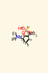 CCNC(C)C.Cc1cc(C)c(OP(O)(O)=S)c([N+](=O)[O-])c1